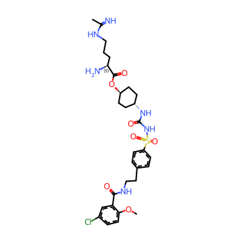 COc1ccc(Cl)cc1C(=O)NCCc1ccc(S(=O)(=O)NC(=O)N[C@H]2CC[C@H](OC(=O)[C@@H](N)CCCNC(C)=N)CC2)cc1